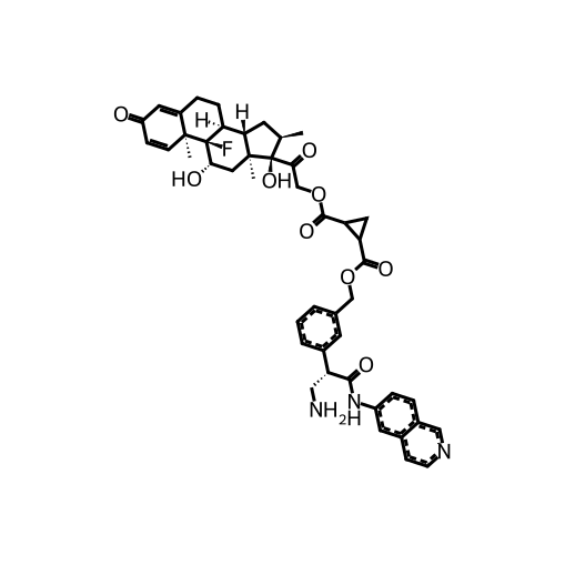 C[C@@H]1C[C@H]2[C@@H]3CCC4=CC(=O)C=C[C@]4(C)[C@@]3(F)[C@@H](O)C[C@]2(C)[C@@]1(O)C(=O)COC(=O)C1CC1C(=O)OCc1cccc([C@@H](CN)C(=O)Nc2ccc3cnccc3c2)c1